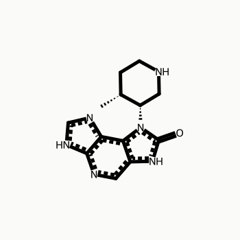 C[C@@H]1CCNC[C@@H]1n1c(=O)[nH]c2cnc3[nH]cnc3c21